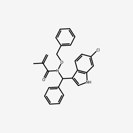 C=C(C)C(=O)N(OCc1ccccc1)C(c1ccccc1)c1c[nH]c2cc(Cl)ccc12